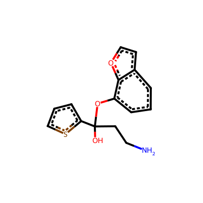 NCCC(O)(Oc1cccc2ccoc12)c1cccs1